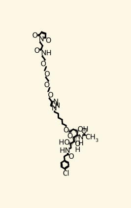 CC(=O)N[C@H]1[C@H]([C@H](O)[C@H](O)CNC(=O)Cc2ccc(Cl)cc2)O[C@@H](OCCCCCCn2cc(COCCOCCOCCOCCNC(=O)CCN3C(=O)C=CC3=O)nn2)C[C@@H]1O